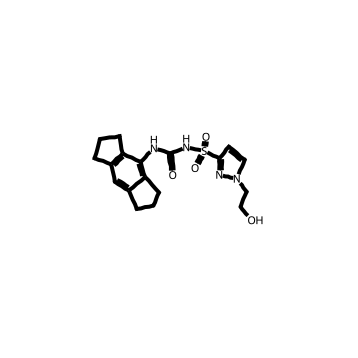 O=C(Nc1c2c(cc3c1CCC3)CCC2)NS(=O)(=O)c1ccn(CCO)n1